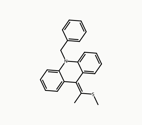 CSC(C)=C1c2ccccc2N(Cc2ccccc2)c2ccccc21